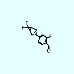 O=Cc1ccc(N2CC3C(C2)C3(F)F)cc1F